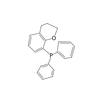 c1ccc(P(c2ccccc2)c2cccc3c2OCCC3)cc1